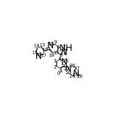 Cc1ccc(-c2n[nH]c3cnc(-c4cccnc4)cc23)nc1N1CCN(C)CC1